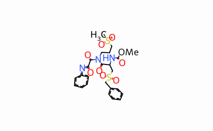 COC(=O)NC(CS(=O)(=O)Cc1ccccc1)C(=O)N(CCCS(C)(=O)=O)C(=O)c1nc2ccccc2o1